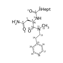 CCCCCCCC(=O)N[C@H](CC(N)=O)C(=O)N(C)CCc1ccccc1